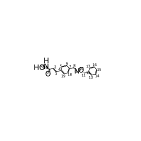 O=C(/C=C/c1ccc(C=NOCc2ccccc2)cc1)NO